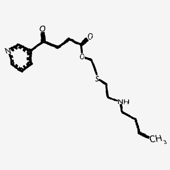 CCCCNCCSCOC(=O)CCC(=O)c1cccnc1